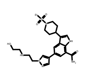 CCS(=O)(=O)N1CCC(c2c[nH]c3c(C(N)=O)cc(-c4cnn(CCNCCO)c4)cc23)CC1